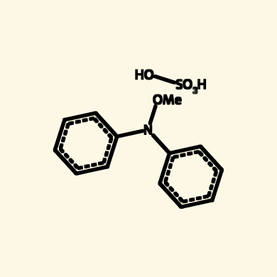 CON(c1ccccc1)c1ccccc1.O=S(=O)(O)O